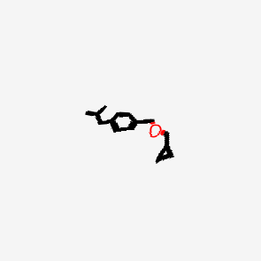 CC(C)Cc1ccc(COCC2CC2)cc1